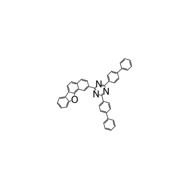 c1ccc(-c2ccc(-c3nc(-c4ccc(-c5ccccc5)cc4)nc(-c4ccc5ccc6c7ccccc7oc6c5c4)n3)cc2)cc1